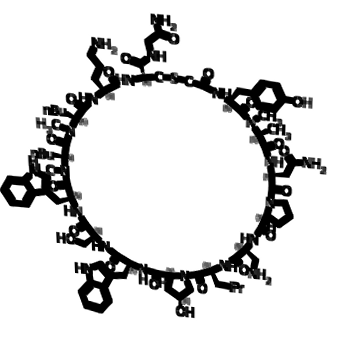 CCCC[C@H]1C(=O)N(C)[C@@H](CCCC)C(=O)N[C@@H](CCCN)C(=O)N[C@H](C(=O)NCC(N)=O)CSCC(=O)N[C@@H](Cc2ccc(O)cc2)C(=O)N(C)[C@@H](C)C(=O)N[C@@H](CC(N)=O)C(=O)N2CCC[C@H]2C(=O)N[C@@H](CN)C(=O)N[C@@H](CC(C)C)C(=O)N2C[C@H](O)C[C@H]2C(=O)N[C@@H](Cc2c[nH]c3ccccc23)C(=O)N[C@@H](CO)C(=O)N[C@@H](Cc2c[nH]c3ccccc23)C(=O)N1C